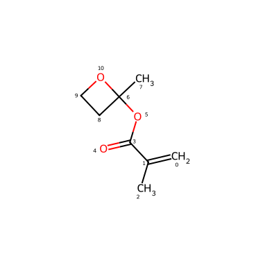 C=C(C)C(=O)OC1(C)CCO1